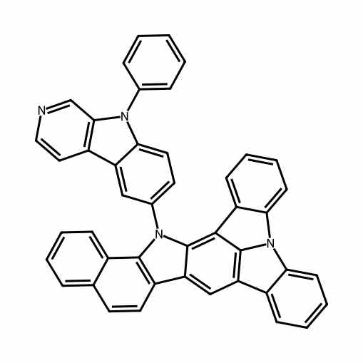 c1ccc(-n2c3ccc(-n4c5c6ccccc6ccc5c5cc6c7ccccc7n7c8ccccc8c(c54)c67)cc3c3ccncc32)cc1